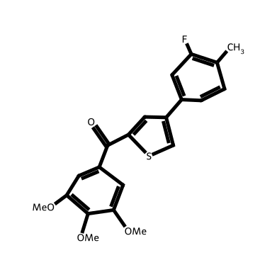 COc1cc(C(=O)c2cc(-c3ccc(C)c(F)c3)cs2)cc(OC)c1OC